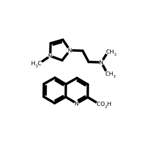 CN(C)CCN1C=CN(C)C1.O=C(O)c1ccc2ccccc2n1